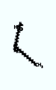 CCCCCCCCCCCCCCCc1cccc(OCCCCCCCCCCC(=O)NC2CC2)c1